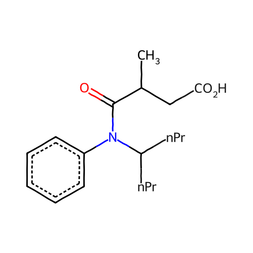 CCCC(CCC)N(C(=O)C(C)CC(=O)O)c1ccccc1